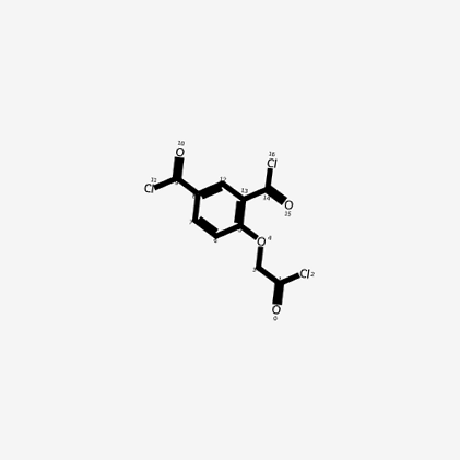 O=C(Cl)COc1ccc(C(=O)Cl)cc1C(=O)Cl